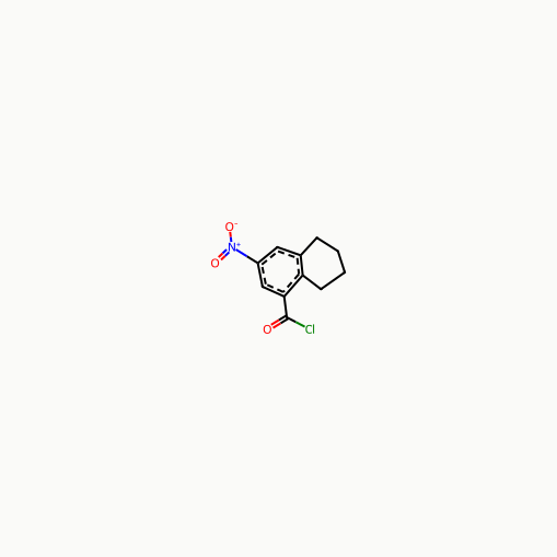 O=C(Cl)c1cc([N+](=O)[O-])cc2c1CCCC2